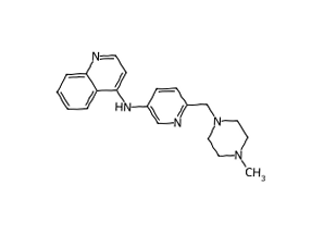 CN1CCN(Cc2ccc(Nc3ccnc4ccccc34)cn2)CC1